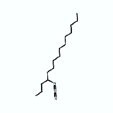 CCCCCCCCCCCC(CCC)N=[N+]=[N-]